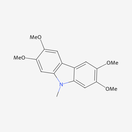 COc1cc2c3cc(OC)c(OC)cc3n(C)c2cc1OC